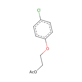 CC(=O)OCCOc1ccc(Cl)cc1